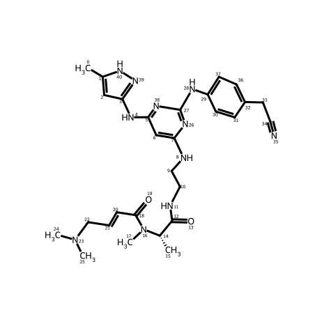 Cc1cc(Nc2cc(NCCNC(=O)[C@H](C)N(C)C(=O)/C=C/CN(C)C)nc(Nc3ccc(CC#N)cc3)n2)n[nH]1